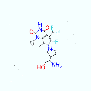 CC1c2c(c(=O)[nH]c(=O)n2C2CC2)C(C(F)F)=C(F)C1N1CCC(C(N)CO)C1